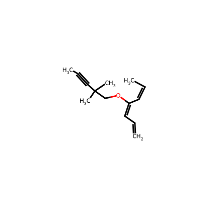 C=C/C=C(\C=C/C)OCC(C)(C)C#CC